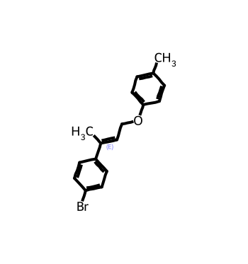 C/C(=C\COc1ccc(C)cc1)c1ccc(Br)cc1